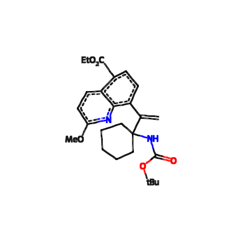 C=C(c1ccc(C(=O)OCC)c2ccc(OC)nc12)C1(NC(=O)OC(C)(C)C)CCCCC1